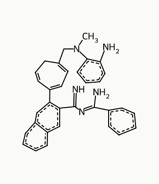 CN(CC1=CC=C(c2cc3ccccc3cc2C(=N)/N=C(\N)c2ccccc2)C=CC1)c1ccccc1N